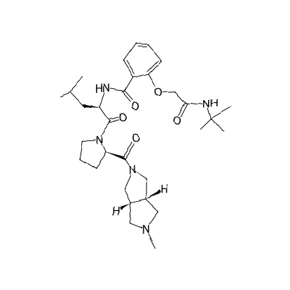 CC(C)C[C@@H](NC(=O)c1ccccc1OCC(=O)NC(C)(C)C)C(=O)N1CCC[C@@H]1C(=O)N1C[C@H]2CN(C)C[C@H]2C1